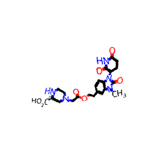 Cn1c(=O)n(C2CCC(=O)NC2=O)c2ccc(CCOC(=O)CN3CCN[C@H](C(=O)O)C3)cc21